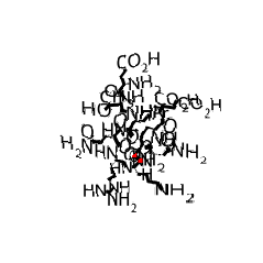 CC(C)C[C@H](NC(=O)[C@@H](NC(=O)[C@@H](N)CCC(=O)O)[C@@H](C)O)C(=O)N[C@@H](CCC(N)=O)C(=O)N[C@@H](CCCNC(=N)N)C(=O)N[C@@H](CCCCN)C(=O)N[C@@H](CC(N)=O)C(=O)N[C@@H](CCCCN)C(=O)N[C@@H](CCC(=O)O)C(=O)O